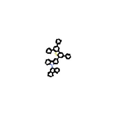 c1ccc(-c2cc(-c3ccccc3)c3sc4c(-c5ccc6c(c5)c5ccccc5n6-c5cc6ccccc6c6ccccc56)cc(-c5ccccc5)cc4c3c2)cc1